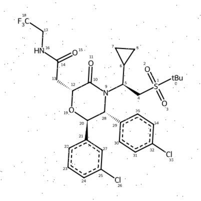 CC(C)(C)S(=O)(=O)C[C@H](C1CC1)N1C(=O)[C@@H](CC(=O)NCC(F)(F)F)O[C@H](c2cccc(Cl)c2)[C@H]1c1ccc(Cl)cc1